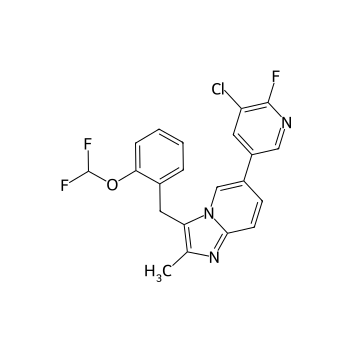 Cc1nc2ccc(-c3cnc(F)c(Cl)c3)cn2c1Cc1ccccc1OC(F)F